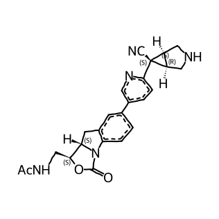 CC(=O)NC[C@@H]1OC(=O)N2c3ccc(-c4ccc([C@@]5(C#N)[C@@H]6CNC[C@@H]65)nc4)cc3C[C@@H]12